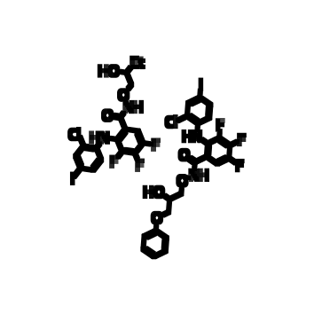 CCC(O)CONC(=O)c1cc(F)c(F)c(F)c1Nc1ccc(I)cc1Cl.O=C(NOCC(O)COc1ccccc1)c1cc(F)c(F)c(F)c1Nc1ccc(I)cc1Cl